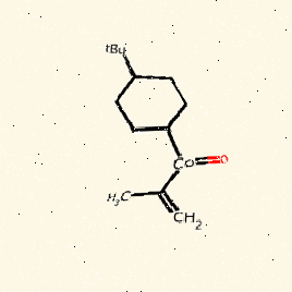 C=[C](C)[Co](=[O])[CH]1CCC(C(C)(C)C)CC1